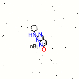 CCCCn1c(=O)ccc2cnc(NC3CCCCC3)nc21